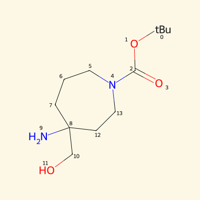 CC(C)(C)OC(=O)N1CCCC(N)(CO)CC1